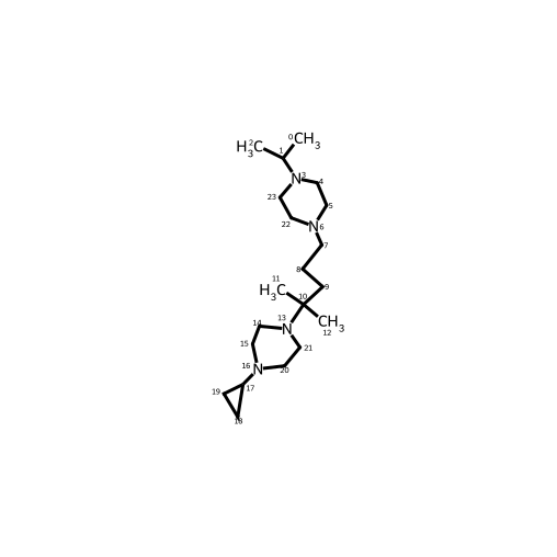 CC(C)N1CCN(CCCC(C)(C)N2CCN(C3CC3)CC2)CC1